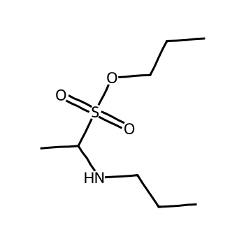 CCCNC(C)S(=O)(=O)OCCC